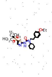 CCOc1ccc(CCN(C(=O)Nc2ncc(S(=O)(=O)C(C)(C)C(=O)O)s2)C2CCCCC2)cc1